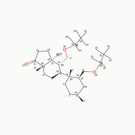 C[C@H]1CC[C@](C)([C@H]2CC[C@]3(C)C(=O)CC[C@H]3[C@@H]2CO[Si](C)(C)C(C)(C)C)[C@@H](CO[Si](C)(C)C(C)(C)C)C1